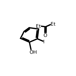 CCC(=O)CC.Oc1ccccc1I